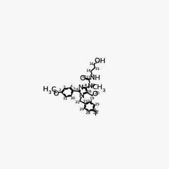 COc1ccc(-c2nc(N(C)C(=O)NCCCO)c(C=O)n2Cc2ccc(F)cc2)cc1